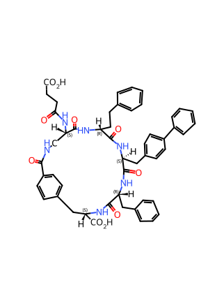 O=C(O)CCC(=O)N[C@H]1CNC(=O)c2ccc(cc2)C[C@@H](C(=O)O)NC(=O)[C@@H](Cc2ccccc2)NC(=O)[C@H](Cc2ccc(-c3ccccc3)cc2)NC(=O)[C@@H](CCc2ccccc2)NC1=O